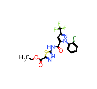 CCOC(=O)c1nnc(NC(=O)c2cc(C(F)(F)F)nn2-c2ccccc2Cl)s1